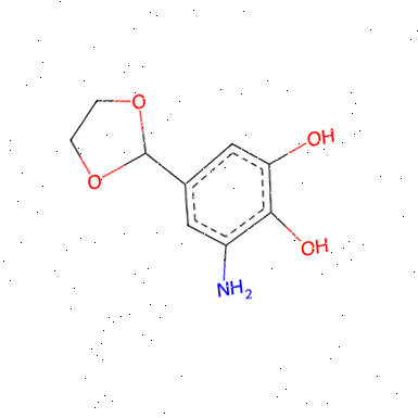 Nc1cc(C2OCCO2)cc(O)c1O